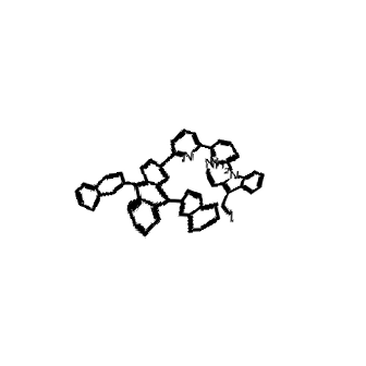 N/C=C\c1c(CI)c2ccccc2n1-c1cccc(-c2cccc(-c3ccc4c(-c5ccc6ccccc6c5)c5ccccc5c(-c5ccc6ccccc6c5)c4c3)n2)n1